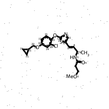 COCCC(=O)N[C@@H](C)/C=C/c1cnc(Oc2ccc(OCC3CC3)cc2Cl)s1